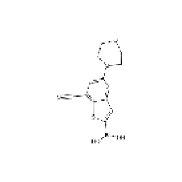 N#Cc1cc(N2CCOCC2)cc2cc(B(O)O)sc12